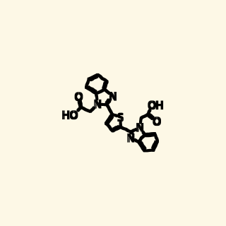 O=C(O)Cn1c(-c2ccc(-c3nc4ccccc4n3CC(=O)O)s2)nc2ccccc21